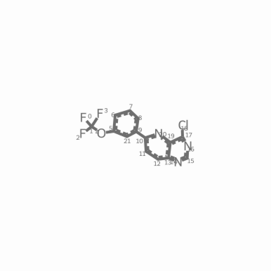 FC(F)(F)Oc1cccc(-c2ccc3ncnc(Cl)c3n2)c1